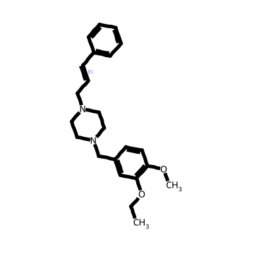 CCOc1cc(CN2CCN(C/C=C/c3ccccc3)CC2)ccc1OC